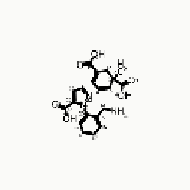 CC1(C(=O)O)C=CC=C(C(=O)O)C1.NCc1ccccc1-n1nccc1C(=O)O